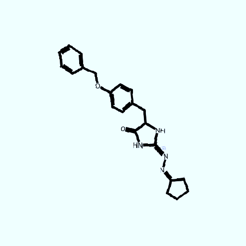 O=C1N/C(=N\N=C2CCCC2)NC1Cc1ccc(OCc2ccccc2)cc1